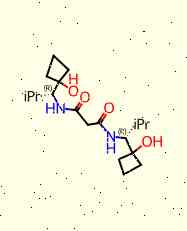 CC(C)[C@@H](NC(=O)CC(=O)N[C@H](C(C)C)C1(O)CCC1)C1(O)CCC1